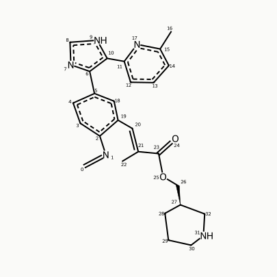 C=Nc1ccc(-c2nc[nH]c2-c2cccc(C)n2)cc1/C=C(\C)C(=O)OC[C@@H]1CCCNC1